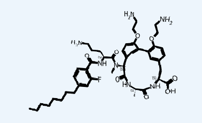 CCCCCCCCc1ccc(C(=O)N[C@@H](CCCN)C(=O)N(C)[C@@H]2C(=O)N[C@@H](C)C(=O)N[C@H](C(=O)O)Cc3ccc(OCCN)c(c3)-c3cc2ccc3OCCN)c(F)c1